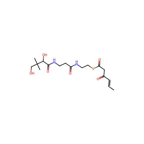 C/C=C/C(=O)CC(=O)SCCNC(=O)CCNC(=O)C(O)C(C)(C)CO